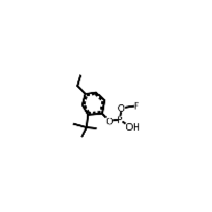 CCc1ccc(OP(O)OF)c(C(C)(C)C)c1